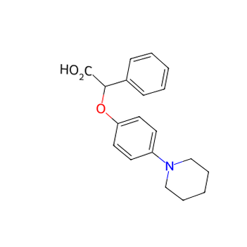 O=C(O)C(Oc1ccc(N2CCCCC2)cc1)c1ccccc1